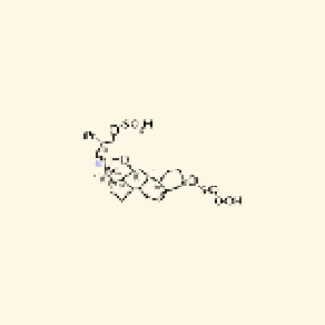 CC(=O)[C@]12C(CC[C@@H]1[C@H](C)/C=C/[C@@H](COS(=O)(=O)O)C(C)C)C1CC=C3C[C@@H](OSOOO)CC[C@]3(C)C1C[C@@H]2O